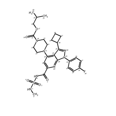 CNS(=O)(=O)NC(=O)c1cc(N2CCN(C(=O)OCC(C)C)CC2)c2c(C3CCC3)nn(-c3ccc(F)cc3)c2n1